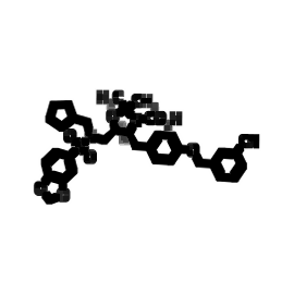 CC1(C)O[C@H](CN(CC2CCCC2)S(=O)(=O)c2ccc3c(c2)OCO3)[C@H](Cc2ccc(OCc3cccc(C#N)c3)cc2)N1C(=O)O